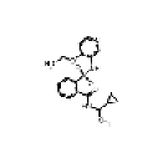 CCOc1ccncc1NS(=O)(=O)c1ccccc1C(=O)NC(C)C1CC1